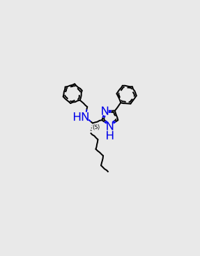 CCCCCC[C@H](NCc1ccccc1)c1nc(-c2ccccc2)c[nH]1